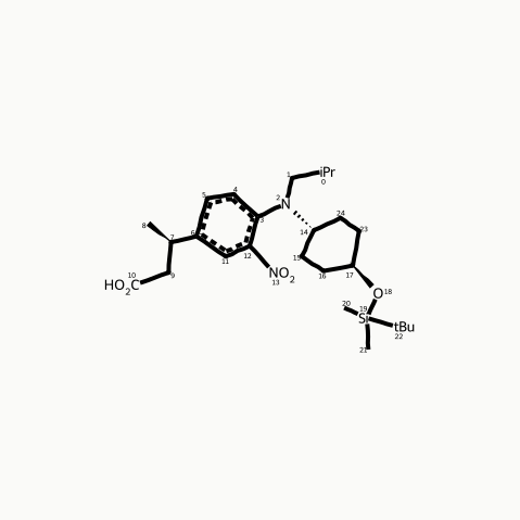 CC(C)CN(c1ccc([C@H](C)CC(=O)O)cc1[N+](=O)[O-])[C@H]1CC[C@H](O[Si](C)(C)C(C)(C)C)CC1